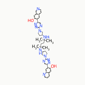 CC(C)(CCC(C)(C)NC1CCN(c2ncc(-c3cc4ncccc4cc3O)nn2)C1)NC1CCN(c2ncc(-c3cc4ccncc4cc3O)nn2)C1